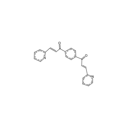 O=C(C=Cc1ccccn1)c1ccc(C(=O)C=Cc2ccccn2)cc1